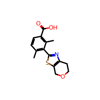 Cc1ccc(C(=O)O)c(C)c1-c1nc2c(s1)COCC2